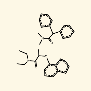 CCN(CC)C(=O)C(C)Oc1cccc2ccccc12.CN(C)C(=O)C(c1ccccc1)c1ccccc1